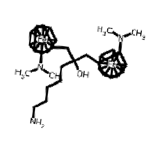 CN(C)[C]12[CH]3[CH]4[CH]5[C]1(CC(O)(CCCCCN)C[C]16[CH]7[CH]8[CH]9[C]1(N(C)C)[Fe]87961%10%11%12[CH]6[CH]1[CH]%10[CH]%11[CH]6%12)[Fe]45321678[CH]2[CH]1[CH]6[CH]7[CH]28